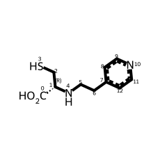 O=C(O)[C@H](CS)NCCc1ccncc1